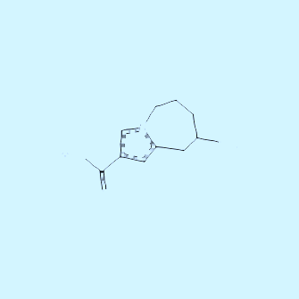 COC(=O)c1cc2n(c1)CCCC(C)C2